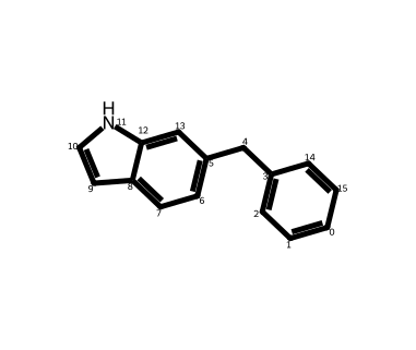 c1ccc(Cc2ccc3cc[nH]c3c2)cc1